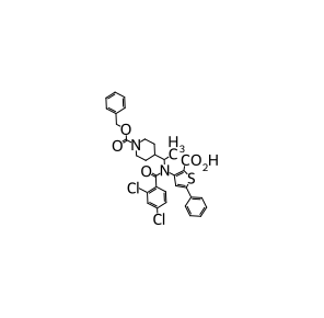 CC(C1CCN(C(=O)OCc2ccccc2)CC1)N(C(=O)c1ccc(Cl)cc1Cl)c1cc(-c2ccccc2)sc1C(=O)O